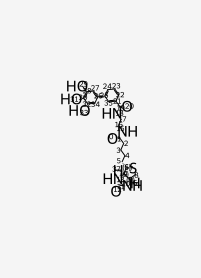 O=C(CCCC[C@@H]1SC[C@@H]2NC(=O)N[C@@H]21)NCCNC(=O)c1cccc(-c2cc(O)c(O)c(O)c2)c1